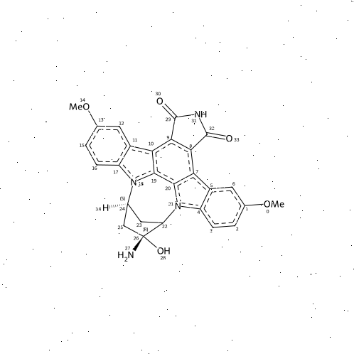 COc1ccc2c(c1)c1c3c(c4c5cc(OC)ccc5n5c4c1n2C1C[C@H]5C[C@@]1(N)O)C(=O)NC3=O